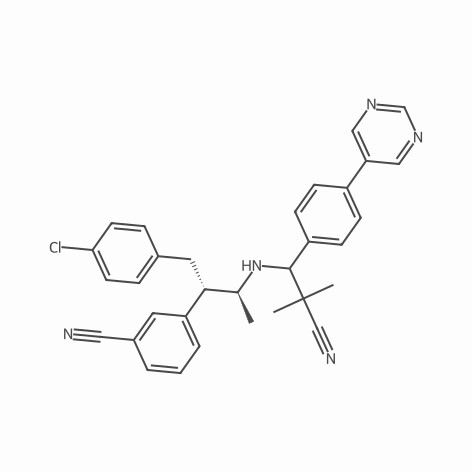 C[C@H](NC(c1ccc(-c2cncnc2)cc1)C(C)(C)C#N)[C@@H](Cc1ccc(Cl)cc1)c1cccc(C#N)c1